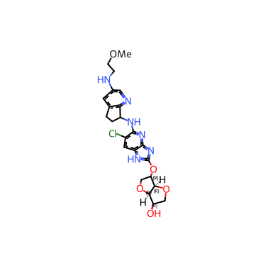 COCCNc1cnc2c(c1)CCC2Nc1nc2nc(O[C@@H]3CO[C@H]4[C@@H]3OC[C@H]4O)[nH]c2cc1Cl